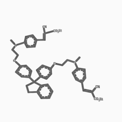 CCOC(=O)/C(C#N)=C/c1ccc(N(C)CCOc2ccc(C3(c4ccc(OCCN(C)c5ccc(/C=C(\C#N)C(=O)OCC)cc5)cc4)CCc4ccccc43)cc2)cc1